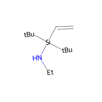 C=C[Si](NCC)(C(C)(C)C)C(C)(C)C